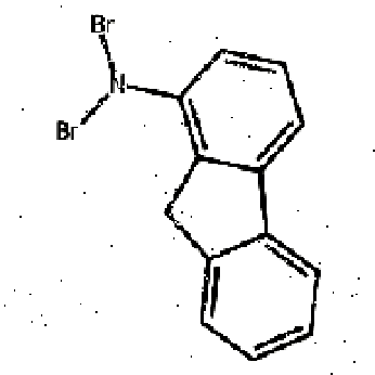 BrN(Br)c1cccc2c1Cc1ccccc1-2